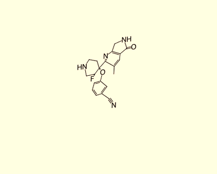 Cc1cc2c(nc1[C@@]1(Oc3cccc(C#N)c3)CCNC[C@@H]1F)CNC2=O